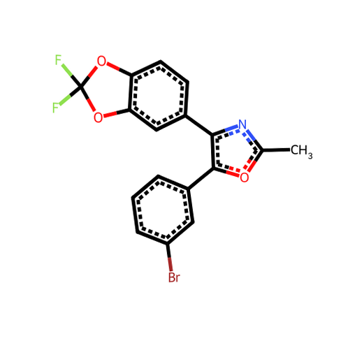 Cc1nc(-c2ccc3c(c2)OC(F)(F)O3)c(-c2cccc(Br)c2)o1